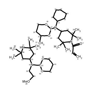 C=CC(=O)N1C(C)(C)CC(N(C2CCCCC2)P2OCCC(C)O2)CC1(C)C.COCCN(C1CC(C)(C)NC(C)(C)C1)P1OCCCO1